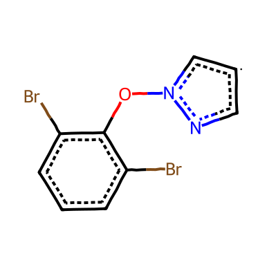 Brc1cccc(Br)c1On1c[c]cn1